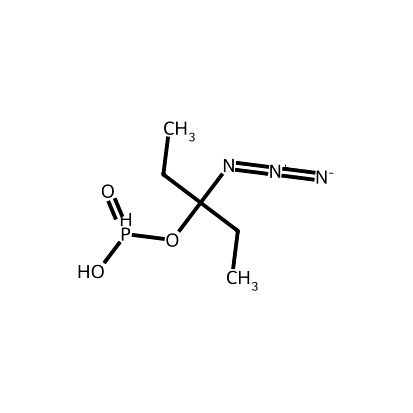 CCC(CC)(N=[N+]=[N-])O[PH](=O)O